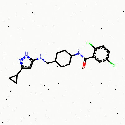 O=C(NC1CCC(CNc2cc(C3CC3)n[nH]2)CC1)c1cc(Cl)ccc1Cl